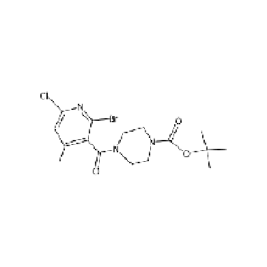 Cc1cc(Cl)nc(Br)c1C(=O)N1CCN(C(=O)OC(C)(C)C)CC1